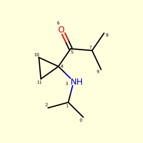 CC(C)NC1(C(=O)C(C)C)CC1